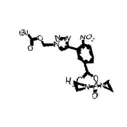 CC(OP(=O)(N1CC1)N1CC1)c1ccc([N+](=O)[O-])c(-c2cn(COC(=O)C(C)(C)C)nn2)c1